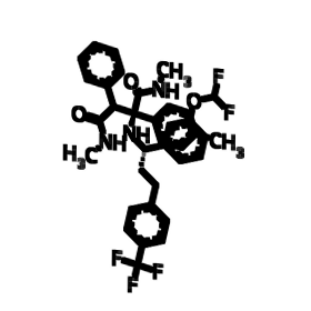 CNC(=O)C(c1ccccc1)[C@](N[C@@H](CCc1ccc(C(F)(F)F)cc1)c1cccc(OC(F)F)c1)(C(=O)NC)c1ccc(C)cc1